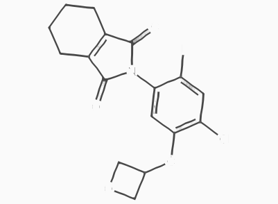 O=C1C2=C(CCCC2)C(=O)N1c1cc(OC2COC2)c(Cl)cc1F